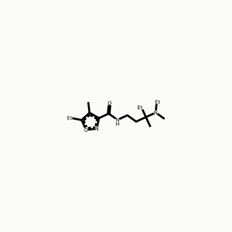 CCc1onc(C(=O)NCCC(C)(CC)N(C)CC)c1C